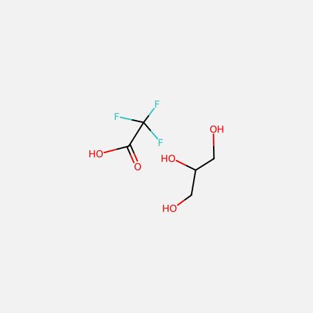 O=C(O)C(F)(F)F.OCC(O)CO